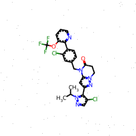 CC(C)n1ncc(Cl)c1-c1cc2n(n1)CCC(=O)N2Cc1ccc(-c2ncccc2OC(F)(F)F)c(Cl)c1